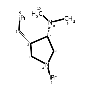 CC(C)C[C@H]1CN(C(C)C)C[C@H]1N(C)C